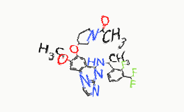 COc1cc2c(cc1OC1CCN(C(C)=O)C1)c(N[C@H](C)c1cccc(C(F)F)c1F)nc1nccn12